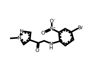 Cn1cc(C(=O)CNc2ccc(Br)cc2[N+](=O)[O-])cn1